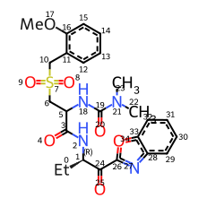 CC[C@@H](NC(=O)C(CS(=O)(=O)Cc1ccccc1OC)NC(=O)N(C)C)C(=O)c1nc2ccccc2o1